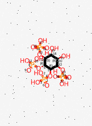 O=P(O)(O)O[C@H]1[C@H](OP(=O)(O)O)[C@@H](OP(=O)(O)O)[C@H](O)[C@@H](O)[C@H]1OP(=O)(O)O